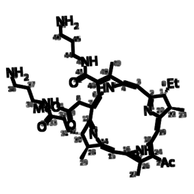 CC[C@H]1c2cc3[nH]c(c(CC(=O)OC)c4nc(cc5[nH]c(cc(n2)[C@@H]1C)c(C(C)=O)c5C)[C@@H](C)[C@@H]4CCC(=O)NCCCN)c(C(=O)NCCCN)c3C